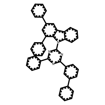 c1ccc(-c2cccc(-c3nc(-c4ccccc4)nc(-n4c5ccccc5c5cc(-c6ccccc6)cc(-c6ccccc6)c54)n3)c2)cc1